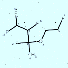 CC(F)(OCCF)C(F)C(F)F